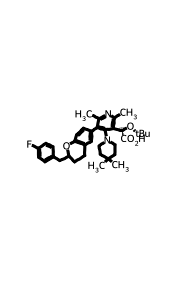 Cc1nc(C)c([C@H](OC(C)(C)C)C(=O)O)c(N2CCC(C)(C)CC2)c1-c1ccc2c(c1)CCC(Cc1ccc(F)cc1)O2